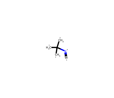 CC(C)(C)[N]=[W]